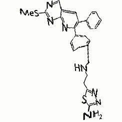 CSc1ncc2cc(-c3ccccc3)c(-c3ccc(CNCCc4nnc(N)s4)cc3)nc2n1